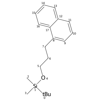 CC(C)(C)[Si](C)(C)OCCCc1cccc2ccccc12